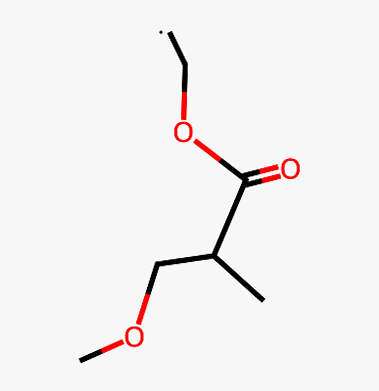 [CH2]COC(=O)C(C)COC